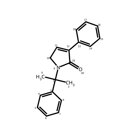 CC(C)(c1ccccc1)N1CC=C(c2ccccc2)C1=O